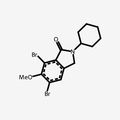 COc1c(Br)cc2c(c1Br)C(=O)N(C1CCCCC1)C2